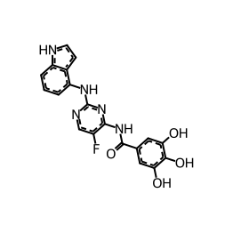 O=C(Nc1nc(Nc2cccc3[nH]ccc23)ncc1F)c1cc(O)c(O)c(O)c1